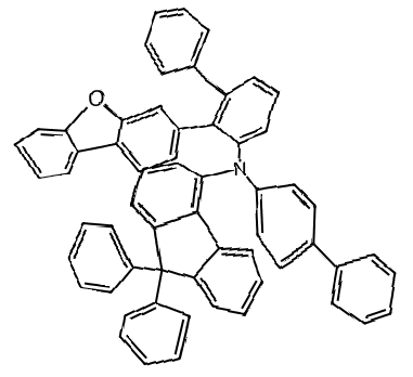 c1ccc(-c2ccc(N(c3cccc(-c4ccccc4)c3-c3ccc4c(c3)oc3ccccc34)c3cccc4c3-c3ccccc3C4(c3ccccc3)c3ccccc3)cc2)cc1